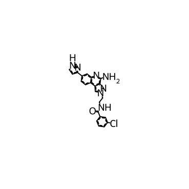 Nc1nc2cc(-c3cc[nH]n3)ccc2c2cn(CCNC(=O)c3cccc(Cl)c3)nc12